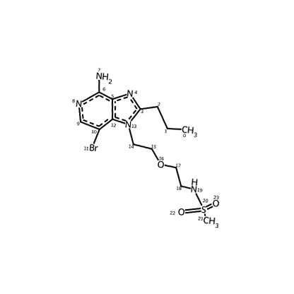 CCCc1nc2c(N)ncc(Br)c2n1CCOCCNS(C)(=O)=O